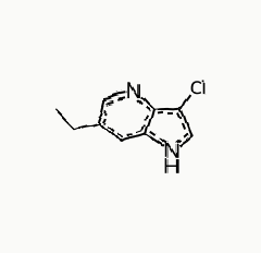 CCc1cnc2c(Cl)c[nH]c2c1